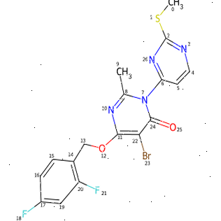 CSc1nccc(-n2c(C)nc(OCc3ccc(F)cc3F)c(Br)c2=O)n1